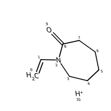 C=CN1CCCCCC1=O.[H+]